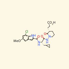 COc1cc(Cl)c2[nH]c(C(=O)N[C@@H](CC3CC3)C(=O)NN3CCC[C@@H](CCC(=O)O)C3=O)cc2c1